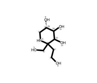 OCCC1(CO)NC[C@H](O)C(O)C1O